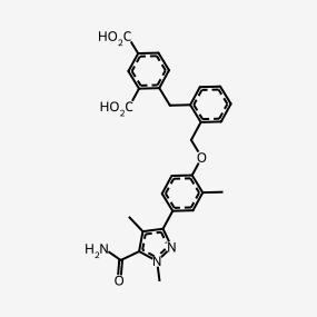 Cc1cc(-c2nn(C)c(C(N)=O)c2C)ccc1OCc1ccccc1Cc1ccc(C(=O)O)cc1C(=O)O